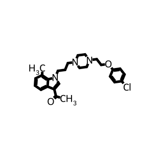 CC(=O)c1cn(CCCN2CCN(CCOc3ccc(Cl)cc3)CC2)c2c(C)cccc12